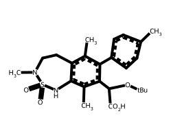 Cc1ccc(-c2c(C)c3c(c(C)c2C(OC(C)(C)C)C(=O)O)NS(=O)(=O)N(C)CC3)cc1